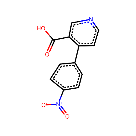 O=C(O)c1cnccc1-c1ccc([N+](=O)[O-])cc1